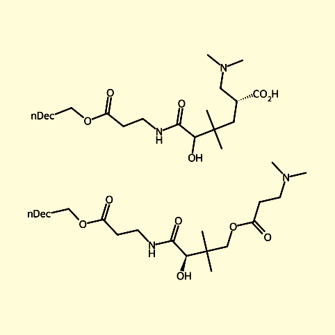 CCCCCCCCCCCOC(=O)CCNC(=O)C(O)C(C)(C)C[C@H](CN(C)C)C(=O)O.CCCCCCCCCCCOC(=O)CCNC(=O)[C@H](O)C(C)(C)COC(=O)CCN(C)C